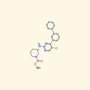 CC(C)(C)OC(=O)N1CCC[C@H](Nc2ncc(Cl)c(-c3cccc(-c4ccccc4)c3)n2)C1